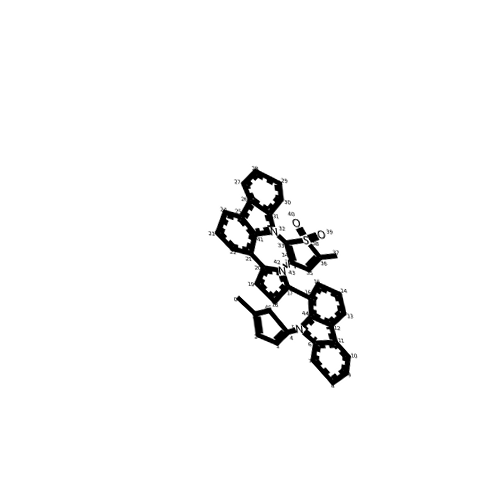 CC1=CC=C(n2c3ccccc3c3cccc(-c4ccc(-c5cccc6c7ccccc7n(C7=CC=C(C)S7(=O)=O)c56)n4C(C)C)c32)C1